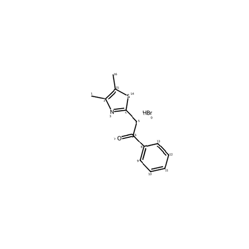 Br.Cc1nc(CC(=O)c2ccccc2)sc1C